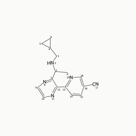 CC(NCC1CC1)c1nccnc1-c1ccc(C#N)cn1